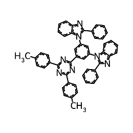 Cc1ccc(-c2nc(-c3ccc(C)cc3)nc(-c3cc(-n4c(-c5ccccc5)nc5ccccc54)cc(-n4c(-c5ccccc5)nc5ccccc54)c3)n2)cc1